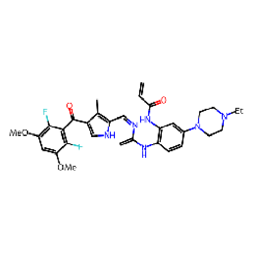 C=CC(=O)Nc1cc(N2CCN(CC)CC2)ccc1NC(=C)/N=C\c1[nH]cc(C(=O)c2c(F)c(OC)cc(OC)c2F)c1C